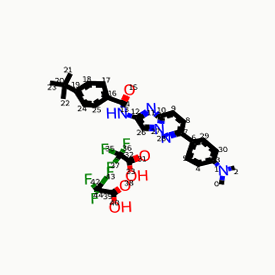 CN(C)c1ccc(-c2ccc3nc(NC(=O)c4ccc(C(C)(C)C)cc4)cn3n2)cc1.O=C(O)C(F)(F)F.O=C(O)C(F)(F)F